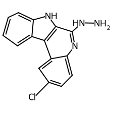 NNc1nc2ccc(Cl)cc2c2c1[nH]c1ccccc12